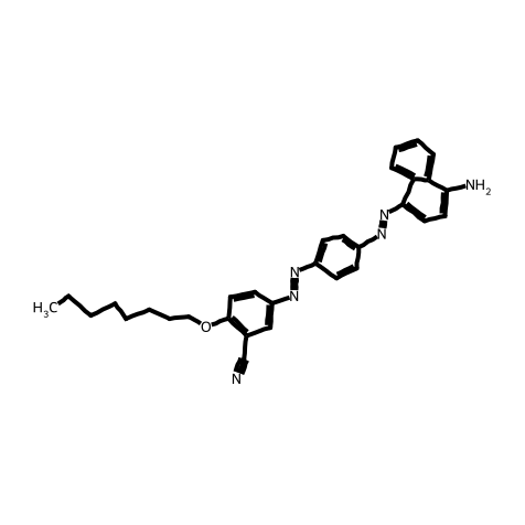 CCCCCCCCOc1ccc(/N=N/c2ccc(/N=N/c3ccc(N)c4ccccc34)cc2)cc1C#N